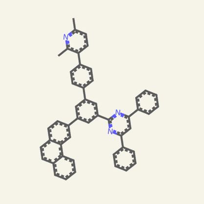 Cc1ccc(-c2ccc(-c3cc(-c4ccc5ccc6ccccc6c5c4)cc(-c4nc(-c5ccccc5)cc(-c5ccccc5)n4)c3)cc2)c(C)n1